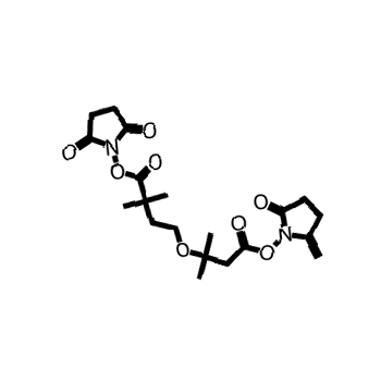 C=C1CCC(=O)N1OC(=O)CC(C)(C)OCCC(C)(C)C(=O)ON1C(=O)CCC1=O